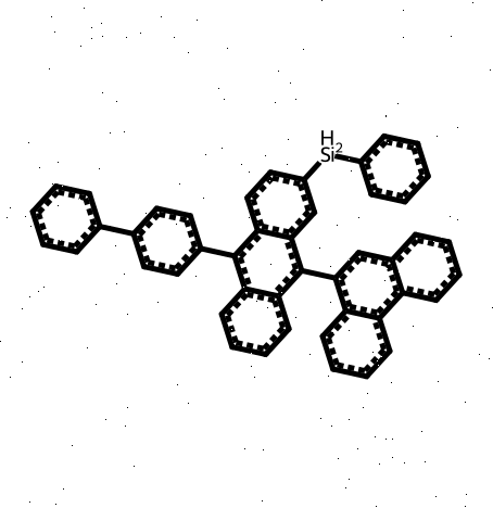 c1ccc([SiH2]c2ccc3c(-c4ccc(-c5ccccc5)cc4)c4ccccc4c(-c4cc5ccccc5c5ccccc45)c3c2)cc1